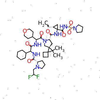 C=C[C@@H]1C[C@]1(NC(=O)[C@@H]1C[C@@]2(CN1C(=O)[C@@H](NC(=O)C(NC(=O)[C@@H]1CCCN1CC(F)F)C1CCCCC1)C1CCOCC1)C(C)(C)C21CCC1)C(=O)NS(=O)(=O)N1CCCC1